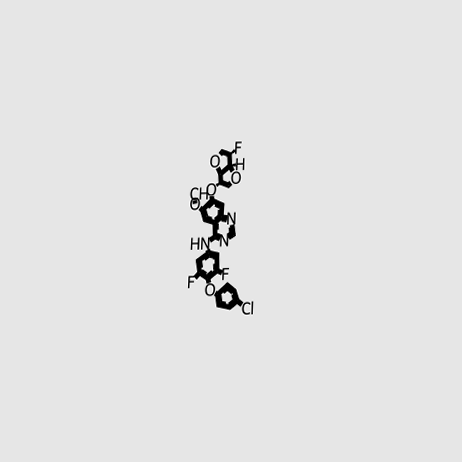 COc1cc2c(Nc3cc(F)c(Oc4ccc(Cl)cc4)c(F)c3)ncnc2cc1O[C@@H]1CO[C@@H]2C1OC[C@H]2F